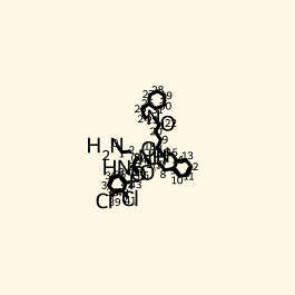 NCC[C@H](NC(=O)[C@@H]1Cc2ccccc2CN1C(=O)CCC(=O)N1CCC2CCCCC21)C(=O)Nc1ccc(Cl)c(Cl)c1F